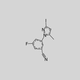 Cc1cc(I)nn1-c1cc(F)cc(C#N)c1